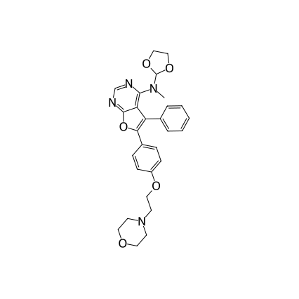 CN(c1ncnc2oc(-c3ccc(OCCN4CCOCC4)cc3)c(-c3ccccc3)c12)C1OCCO1